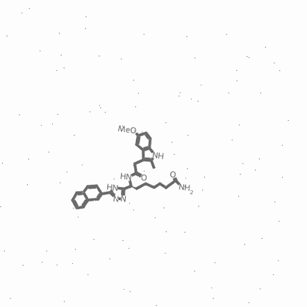 COc1ccc2[nH]c(C)c(CC(=O)N[C@@H](CCCCCC(N)=O)c3nnc(-c4ccc5ccccc5c4)[nH]3)c2c1